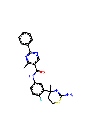 Cc1nc(-c2ccccc2)ncc1C(=O)Nc1ccc(F)c(C2(C)CCSC(N)=N2)c1